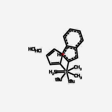 C[C](C)(C)[Ti]([CH3])([CH3])(=[SiH2])([C]1=CC=CC1)([c]1cc2ccccc2[nH]1)[C](C)(C)C.Cl.Cl